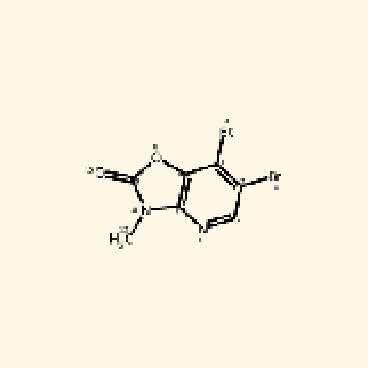 CCc1c(Br)cnc2c1oc(=O)n2C